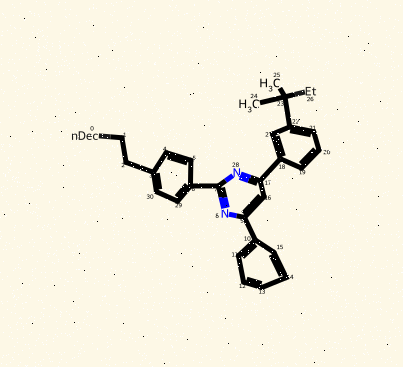 CCCCCCCCCCCCc1ccc(-c2nc(-c3ccccc3)cc(-c3cccc(C(C)(C)CC)c3)n2)cc1